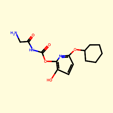 NCC(=O)NC(=O)Oc1nc(OC2CCCCC2)ccc1O